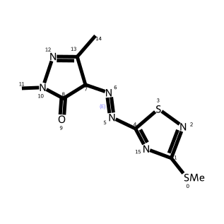 CSc1nsc(/N=N/C2C(=O)N(C)N=C2C)n1